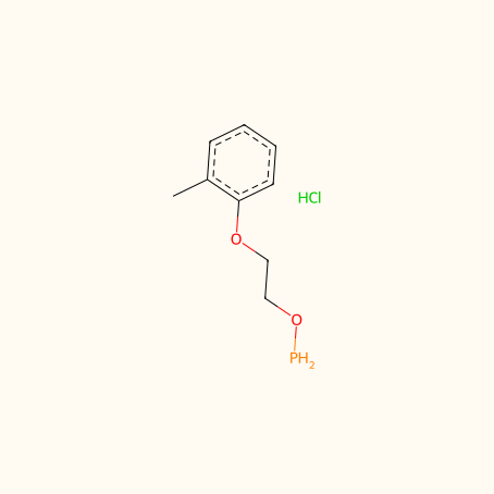 Cc1ccccc1OCCOP.Cl